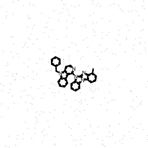 Cc1cccc2c1nc1n(-c3nccc4c3c3ccccc3n4Cc3ccccc3)c3ccccc3n21